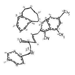 Cc1cc(C)c2c(C#N)c(/C=C/C(=O)Nc3ccncc3)n([C@H]3CCCc4ccccc43)c2n1